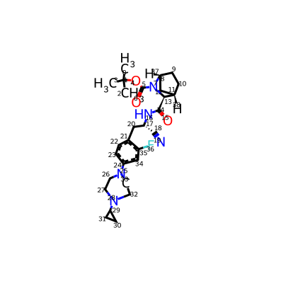 CC(C)(C)OC(=O)N1[C@@H]2CC[C@@H](C2)[C@H]1C(=O)N[C@H](C#N)Cc1ccc(N2CCN(C3CC3)CC2)cc1F